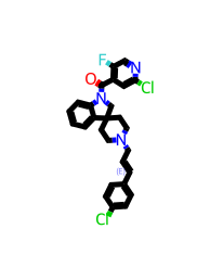 O=C(c1cc(Cl)ncc1F)N1CC2(CCN(C/C=C/c3ccc(Cl)cc3)CC2)c2ccccc21